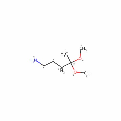 COC(C)(OC)[SiH2]CCN